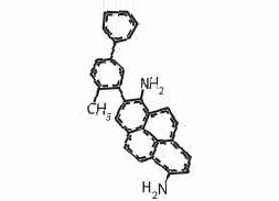 Cc1ccc(-c2ccccc2)cc1-c1cc2ccc3c(N)ccc4ccc(c1N)c2c43